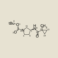 CC(C)(C)OC(=O)N1CC[C@H](NC(=O)C2(C)CC2)C1